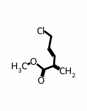 C=C(C=CCCl)C(=O)OC